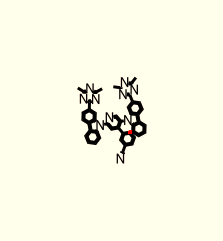 Cc1nc(C)nc(-c2ccc3c4ccccc4n(-c4cc(-c5cccc(C#N)c5)c(-n5c6ccccc6c6ccc(-c7nc(C)nc(C)n7)cc65)cn4)c3c2)n1